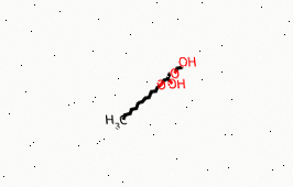 CCCCCCCCCCCCOCC(O)COCCO